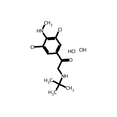 CNc1c(Cl)cc(C(=O)CNC(C)(C)C)cc1Cl.Cl.Cl